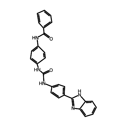 O=C(Nc1ccc(NC(=O)c2ccccc2)cc1)Nc1ccc(-c2nc3ccccc3[nH]2)cc1